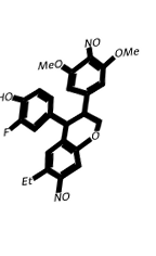 CCc1cc2c(cc1N=O)OCC(c1cc(OC)c(N=O)c(OC)c1)C2c1ccc(O)c(F)c1